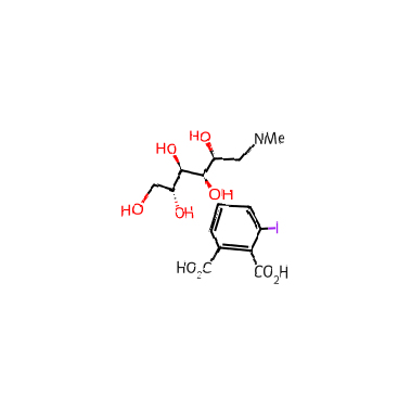 CNC[C@H](O)[C@@H](O)[C@H](O)[C@H](O)CO.O=C(O)c1cccc(I)c1C(=O)O